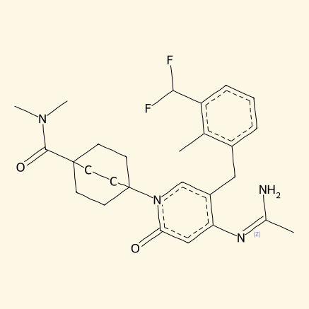 C/C(N)=N/c1cc(=O)n(C23CCC(C(=O)N(C)C)(CC2)CC3)cc1Cc1cccc(C(F)F)c1C